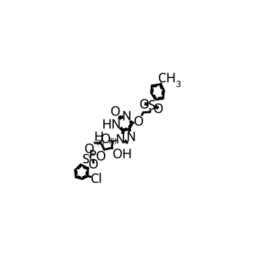 Cc1ccc(S(=O)(=O)CCOc2nc(=O)[nH]c3c2ncn3[C@@H]2O[C@@H]3COP(=S)(Oc4ccccc4Cl)OC3C2O)cc1